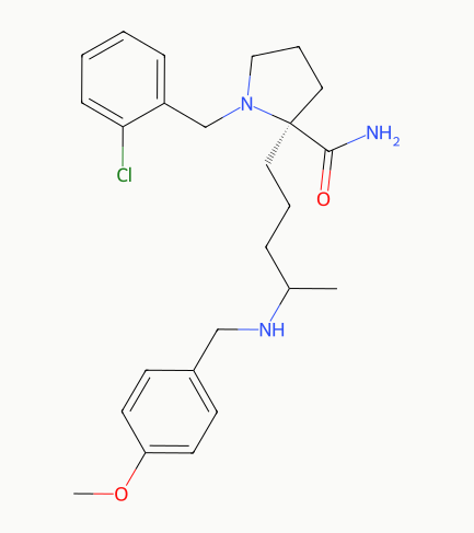 COc1ccc(CNC(C)CCC[C@@]2(C(N)=O)CCCN2Cc2ccccc2Cl)cc1